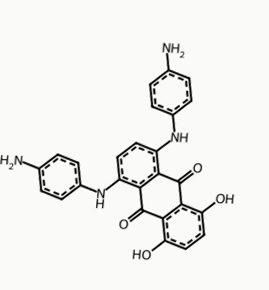 Nc1ccc(Nc2ccc(Nc3ccc(N)cc3)c3c2C(=O)c2c(O)ccc(O)c2C3=O)cc1